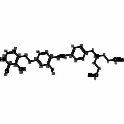 COCCN(CCOC)Cc1ccc(C#Cc2ccc(CCc3nc[nH]c(=O)c3O)cc2F)cc1